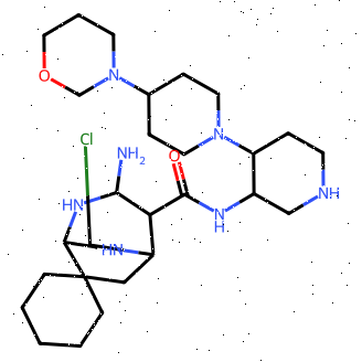 NC1NC2CC(Cl)CNC(CC23CCCCC3)C1C(=O)NC1CNCCC1N1CCC(N2CCCOC2)CC1